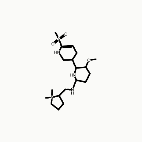 COC1CCC(NCC2CCCS2(C)C)NC1C1CC=C(S(C)(=O)=O)NC1